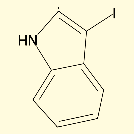 Ic1[c][nH]c2ccccc12